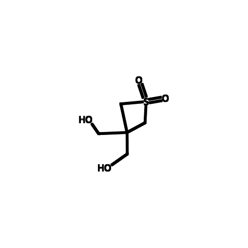 O=S1(=O)CC(CO)(CO)C1